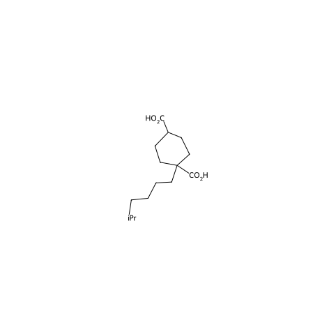 CC(C)CCCCC1(C(=O)O)CCC(C(=O)O)CC1